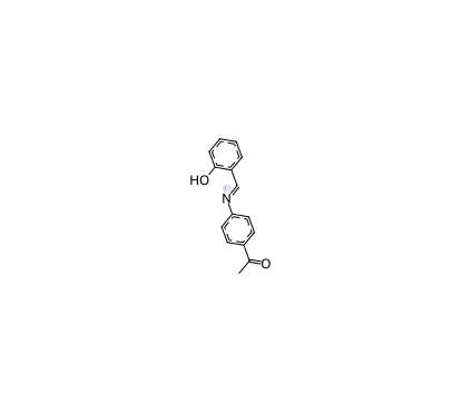 CC(=O)c1ccc(/N=C/c2ccccc2O)cc1